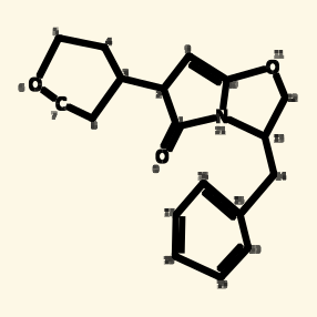 O=C1C(C2CCOCC2)C=C2OCC(Cc3ccccc3)N12